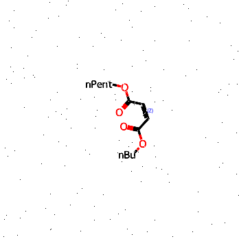 CCCCCOC(=O)/C=C\C(=O)OCCCC